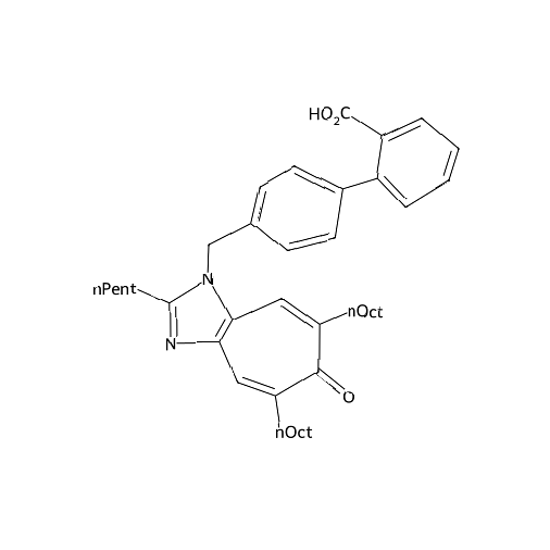 CCCCCCCCc1cc2nc(CCCCC)n(Cc3ccc(-c4ccccc4C(=O)O)cc3)c2cc(CCCCCCCC)c1=O